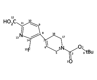 CC(C)(C)OC(=O)N1CC=C(c2ccc(C(=O)O)nc2F)CC1